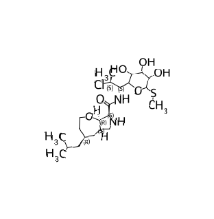 CSC1OC([C@H](NC(=O)[C@H]2NC[C@@H]3C[C@@H](CC(C)C)CCO[C@H]32)[C@H](C)Cl)C(O)C(O)C1O